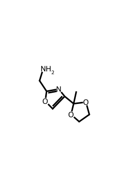 CC1(c2coc(CN)n2)OCCO1